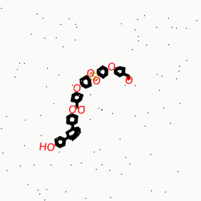 O=Cc1ccc(Oc2ccc(S(=O)(=O)c3ccc(Oc4ccc(C(=O)Oc5ccc(C67CC8CC6CC(c6ccc(O)cc6)(C8)C7)cc5)cc4)cc3)cc2)cc1